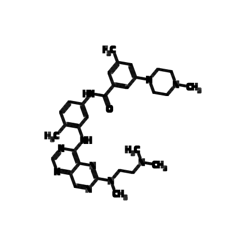 Cc1ccc(NC(=O)c2cc(N3CCN(C)CC3)cc(C(F)(F)F)c2)cc1Nc1ncnc2cnc(N(C)CCN(C)C)nc12